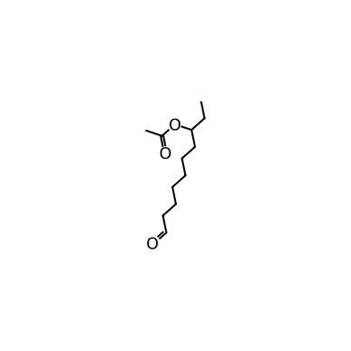 CCC(CCCCCCC=O)OC(C)=O